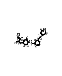 Cc1c(OCc2cccc(CSc3ccncc3)c2)ccc(CC(C)CC=O)c1O